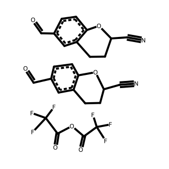 N#CC1CCc2cc(C=O)ccc2O1.N#CC1CCc2cc(C=O)ccc2O1.O=C(OC(=O)C(F)(F)F)C(F)(F)F